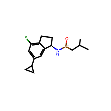 CC(C)C[S+]([O-])N[C@@H]1CCc2c(F)cc(C3CC3)cc21